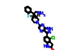 NC[C@]1(c2ccccc2F)[C@@H]2CCN(c3cnc4c(-c5ccc6c(c5Cl)CC(=O)N6)n[nH]c4n3)C[C@@H]21